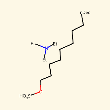 CCCCCCCCCCCCCCCCCCOS(=O)(=O)O.CCN(CC)CC